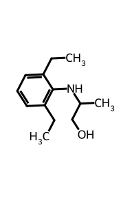 CCc1cccc(CC)c1NC(C)CO